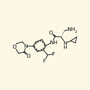 NC[C@H](NC1CC1)C(=O)Nc1ccc(N2CCOCC2=O)cc1C(F)F